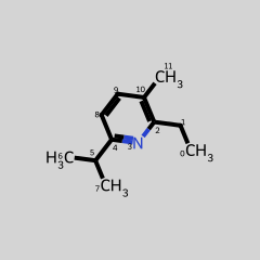 CCc1nc(C(C)C)ccc1C